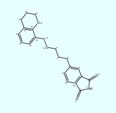 O=C1NC(=O)c2cc(CCCOSc3cccc4c3OCCC4)ccc21